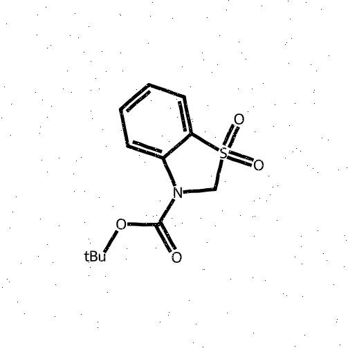 CC(C)(C)OC(=O)N1CS(=O)(=O)c2ccccc21